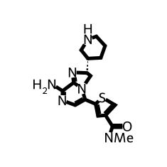 CNC(=O)c1csc(C2=CN=C(N)C3=NC([C@H]4CCCNC4)CN23)c1